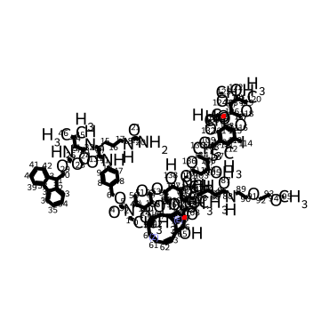 CCN(C(=O)OCc1ccc(NC(=O)[C@H](CCCNC(N)=O)NC(=O)[C@@H](NC(=O)OCC2c3ccccc3-c3ccccc32)C(C)C)cc1)[C@H]1CO[C@@H](OC2[C@H](O[C@H]3C#C/C=C\C#CC4(O)CC(=O)C(NC(=O)OC)=C3/C4=C\CSSC(C)(C)CCC(=O)NCCOCCOC)OC(C)[C@@H](NO[C@H]3C[C@@H](O)[C@H](SC(=O)c4c(C)c(I)c(O[C@@H]5OC(C)[C@H](O)[C@H](OC)C5O)c(OC)c4OC)C(C)O3)[C@H]2O)C[C@H]1OC